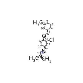 Cc1cccc(COc2ccc(/N=C/N(C)C)cc2Cl)c1